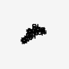 COc1ccc(C(Cl)(Cl)C(F)(F)F)cc1S(=O)(=O)Nc1ccccc1NS(=O)(=O)C1Cc2ccccc2S1